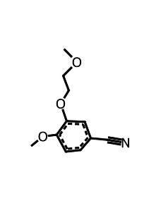 COCCOc1cc(C#N)ccc1OC